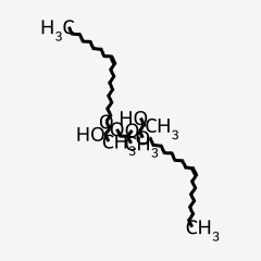 CCCCCCCC/C=C\CCCCCCCCOC(OCC(C)OC(OCCCCCCCC/C=C\CCCCCCCC)C(C)O)C(C)O